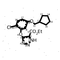 CCOC(=O)c1[nH]nnc1Oc1cc(OCC2CCCC2)ccc1Cl